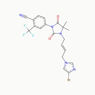 CC1(C)C(=O)N(c2ccc(C#N)c(C(F)(F)F)c2)C(=O)N1CC=CCn1cnc(Br)c1